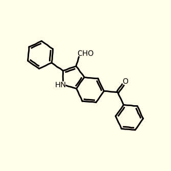 O=Cc1c(-c2ccccc2)[nH]c2ccc(C(=O)c3ccccc3)cc12